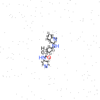 CC(C(=O)Nc1ccncc1)c1ccc(Nc2cnc3ccccc3c2)cc1